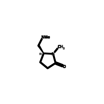 CNC[C@@H]1CCC(=O)N1C